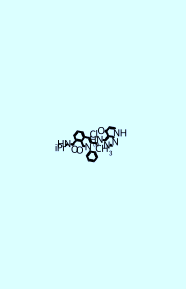 CC(C)NC(=O)c1cccc2c(Cl)c([C@H](C)Nc3ncnc4[nH]ccc(=O)c34)n(-c3ccccc3)c(=O)c12